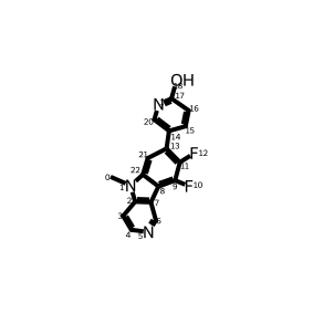 Cn1c2ccncc2c2c(F)c(F)c(-c3ccc(O)nc3)cc21